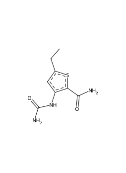 CCc1cc(NC(N)=O)c(C(N)=O)s1